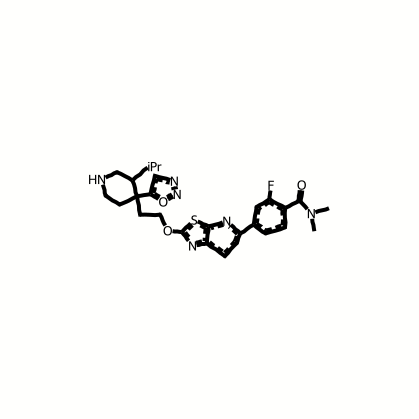 CC(C)C1CNCCC1(CCOc1nc2ccc(-c3ccc(C(=O)N(C)C)c(F)c3)nc2s1)c1cnno1